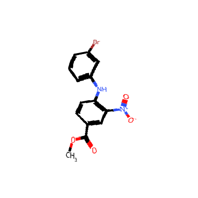 COC(=O)c1ccc(Nc2cccc(Br)c2)c([N+](=O)[O-])c1